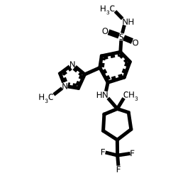 CNS(=O)(=O)c1ccc(NC2(C)CCC(C(F)(F)F)CC2)c(-c2cn(C)cn2)c1